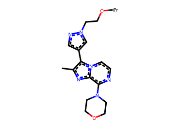 Cc1nc2c(N3CCOCC3)nccn2c1-c1cnn(CCOC(C)C)c1